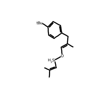 CC(C)=C[SiH2]OC=C(C)Cc1ccc(C(C)(C)C)cc1